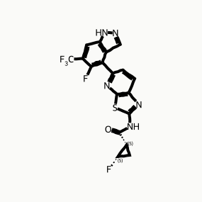 O=C(Nc1nc2ccc(-c3c(F)c(C(F)(F)F)cc4[nH]ncc34)nc2s1)[C@@H]1C[C@@H]1F